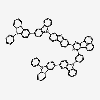 C1=CC2c3cc(-c4ccc5c(c4)c4ccccc4n5-c4cccc(-c5nc(-c6ccc7c(c6)oc6cc(-n8c9ccccc9c9cc(-c%10ccc%11c(c%10)C%10C=CC=CC%10N%11c%10ccccc%10)ccc98)ccc67)nc6c5-c5cccc7cccc-6c57)c4)ccc3N(c3ccccc3)C2C=C1